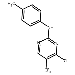 Cc1ccc(Nc2ncc(C(F)(F)F)c(Cl)n2)cc1